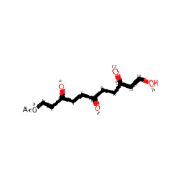 CC(=O)OCCC(=O)CCC(=O)CCC(=O)CCO